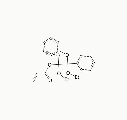 C=CC(=O)OC(OCC)(OCC)C(OCC)(Oc1ccccc1)c1ccccc1